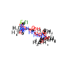 CCOc1ccccc1-c1ccc(N2CCN(C(=O)c3ccc(Cl)cc3C(F)F)CC2CC)c(C(=O)NC2CCN(CCCOc3cc(NCCOCCNC(=O)CN4CCN(CC(=O)OC(C)(C)C)CCN(CC(=O)OC(C)(C)C)CCN(CC(=O)OC(C)(C)C)CC4)cc(C(=O)O)c3)C2)n1